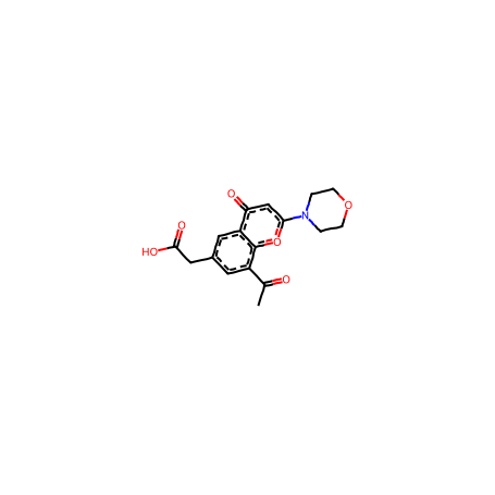 CC(=O)c1cc(CC(=O)O)cc2c(=O)cc(N3CCOCC3)oc12